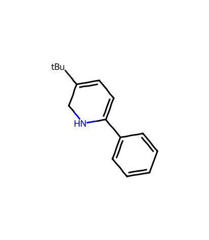 CC(C)(C)C1=CC=C(c2ccccc2)NC1